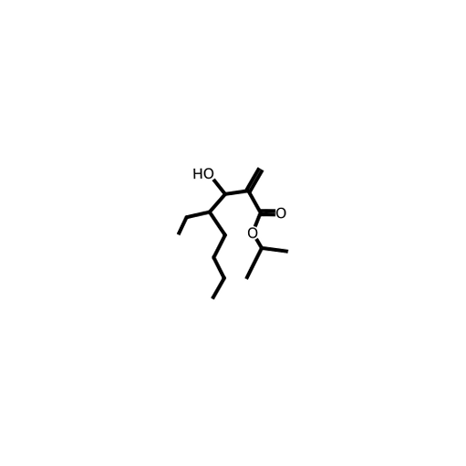 C=C(C(=O)OC(C)C)C(O)C(CC)CCCC